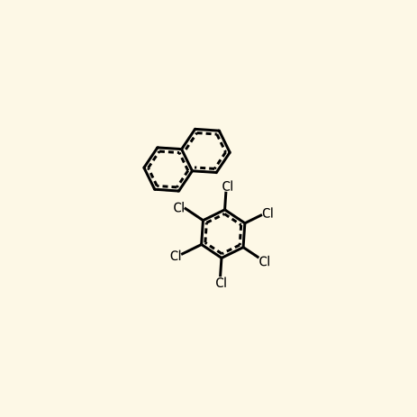 Clc1c(Cl)c(Cl)c(Cl)c(Cl)c1Cl.c1ccc2ccccc2c1